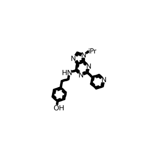 CC(C)n1cnc2c(NCCc3ccc(O)cc3)nc(-c3cccnc3)nc21